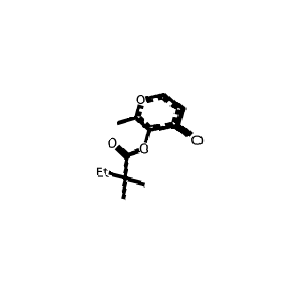 CCC(C)(C)C(=O)Oc1c(C)occc1=O